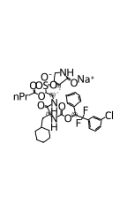 CCCC(=O)OC([C@H](C[C@@H]1CCNC1=O)NC(=O)[C@H](CC1CCCCC1)NC(=O)O[C@@H](c1ccccc1)C(F)(F)c1cccc(Cl)c1)S(=O)(=O)[O-].[Na+]